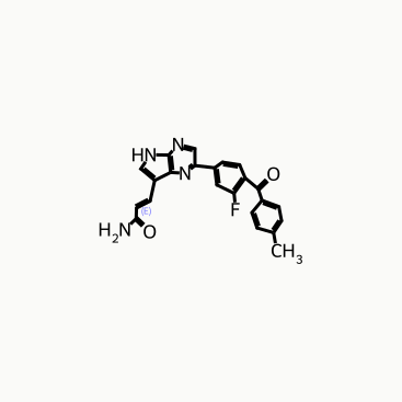 Cc1ccc(C(=O)c2ccc(-c3cnc4[nH]cc(/C=C/C(N)=O)c4n3)cc2F)cc1